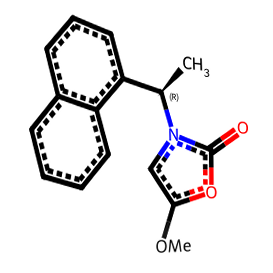 COc1cn([C@H](C)c2cccc3ccccc23)c(=O)o1